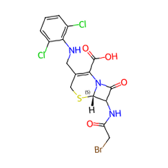 O=C(CBr)NC1C(=O)N2C(C(=O)O)=C(CNc3c(Cl)cccc3Cl)CS[C@@H]12